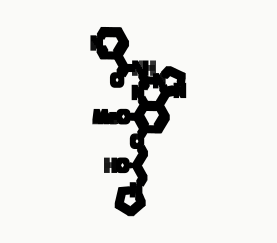 COc1c(OC[C@@H](O)CN2CCCC2)ccc2c1N=C(NC(=O)c1cccnc1)N1CCN=C21